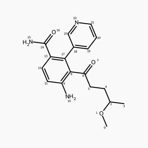 COC(C)CCC(=O)c1c(N)ccc(C(N)=O)c1-c1cccnc1